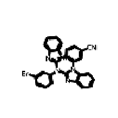 Cc1ccc(C#N)cc1-n1c(N(c2cccc(Br)c2)c2nc3ccccc3[nH]2)nc2ccccc21